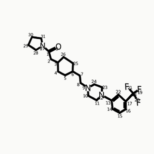 O=C(CC1CCC(CCN2CCN(c3cccc(C(F)(F)F)c3)CC2)CC1)N1CCCC1